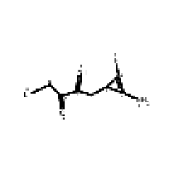 N=C(CC1C(N)=C1F)C(=O)CBr